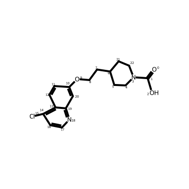 O=C(O)N1CCC(CCOc2ccc3c(Cl)ccnc3c2)CC1